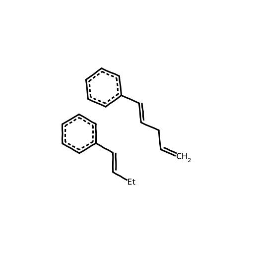 C=CCC=Cc1ccccc1.CCC=Cc1ccccc1